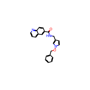 O=C(NCc1ccn(OCc2ccccc2)c1)c1ccc2ncccc2c1